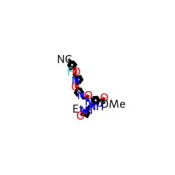 CCN1C(=O)CCC1CNc1cc(C(=O)OC)ccc1NC(=O)CN1CCC(Oc2cccc(COc3ccc(C#N)cc3F)n2)CC1